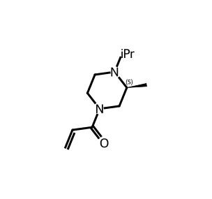 C=CC(=O)N1CCN(C(C)C)[C@@H](C)C1